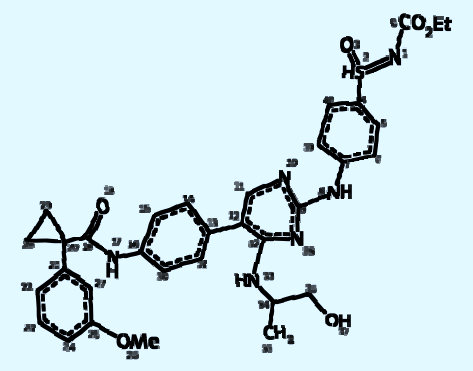 CCOC(=O)N=[SH](=O)c1ccc(Nc2ncc(-c3ccc(NC(=O)C4(c5cccc(OC)c5)CC4)cc3)c(NC(C)CO)n2)cc1